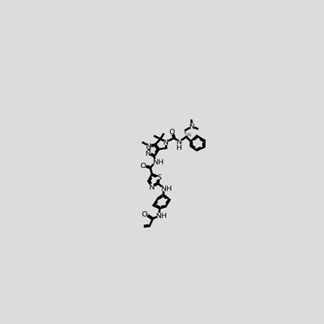 C=CC(=O)Nc1ccc(Nc2ncc(C(=O)Nc3nn(C)c4c3CN(C(=O)N[C@H](CN(C)C)c3ccccc3)C4(C)C)s2)cc1